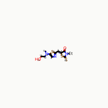 CCN1C(=O)/C(=C/c2ncc(N(C)CCO)s2)SC1=S